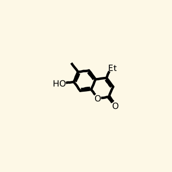 CCc1cc(=O)oc2cc(O)c(C)cc12